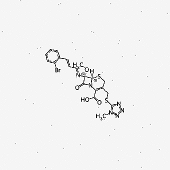 CO[C@@]1(N=CC=Cc2ccccc2Br)C(=O)N2C(C(=O)O)=C(CSc3nnnn3C)CS[C@H]21